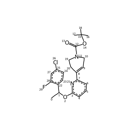 CC(Oc1cccc(C2=CCN(C(=O)OC(C)(C)C)CC2)n1)c1ccc(Cl)cc1F